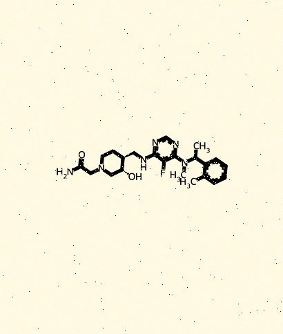 Cc1ccccc1C(C)N(C)c1ncnc(NC[C@@H]2CCN(CC(N)=O)C[C@H]2O)c1F